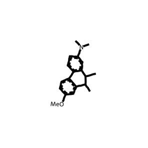 COc1ccc2c(c1)C(C)C(C)c1cc(N(C)C)ccc1-2